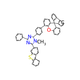 CN1C(c2ccc3c(c2)sc2ccccc23)=NC(c2ccccc2)=NC1c1ccc(-c2cccc3c2Oc2ccccc2C32c3ccccc3-c3ccccc32)cc1